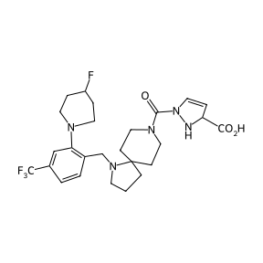 O=C(O)C1C=CN(C(=O)N2CCC3(CCCN3Cc3ccc(C(F)(F)F)cc3N3CCC(F)CC3)CC2)N1